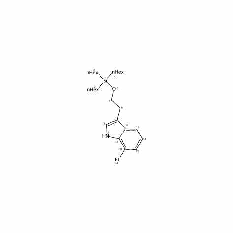 CCCCCC[Si](CCCCCC)(CCCCCC)OCCc1c[nH]c2c(CC)cccc12